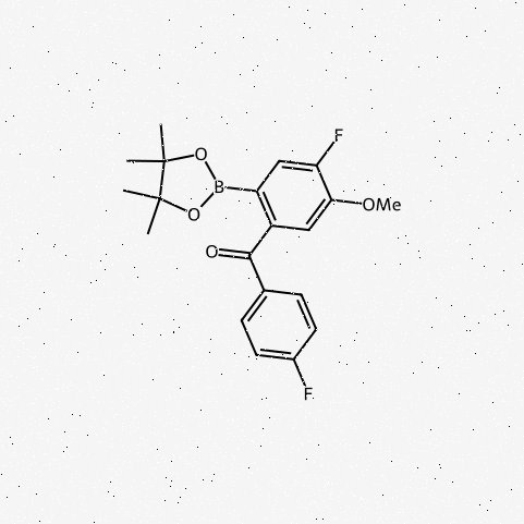 COc1cc(C(=O)c2ccc(F)cc2)c(B2OC(C)(C)C(C)(C)O2)cc1F